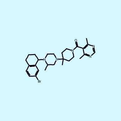 Cc1ncnc(C)c1C(=O)N1CCC(C)(N2CCN(C3CCCc4ccc(Br)cc43)C(C)C2)CC1